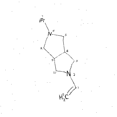 C=CN1CC2CN(C(C)C)CC2C1